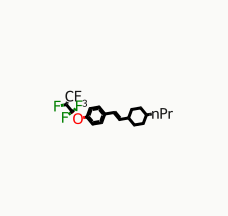 CCCC1CCC(/C=C/c2ccc(OC(F)(F)C(F)C(F)(F)F)cc2)CC1